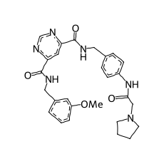 COc1cccc(CNC(=O)c2cc(C(=O)NCc3ccc(NC(=O)CN4CCCC4)cc3)ncn2)c1